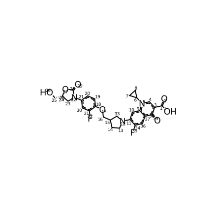 O=C(O)c1cn(C2CC2)c2cc(N3CCC(COc4ccc(N5C[C@H](CO)OC5=O)cc4F)C3)c(F)cc2c1=O